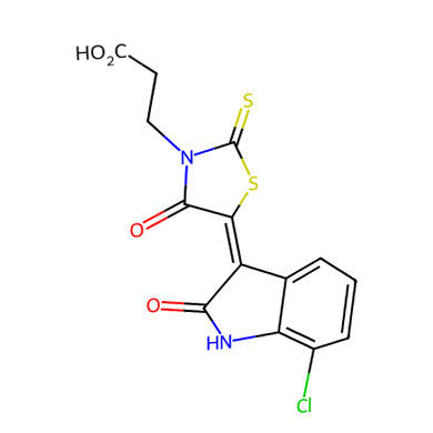 O=C(O)CCN1C(=O)/C(=C2\C(=O)Nc3c(Cl)cccc32)SC1=S